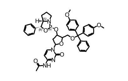 COc1ccc(C(OCC2OC(n3ccc(NC(C)=O)nc3=O)CC2O[P@@]2O[C@H](c3ccccc3)[C@@H]3CCCN32)(c2ccccc2)c2ccc(OC)cc2)cc1